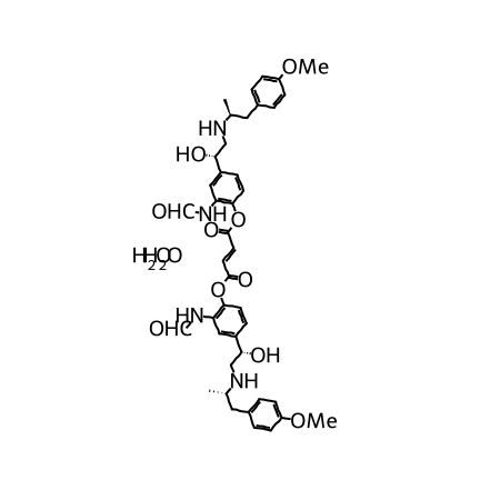 COc1ccc(C[C@H](C)NC[C@@H](O)c2ccc(OC(=O)/C=C/C(=O)Oc3ccc([C@H](O)CN[C@@H](C)Cc4ccc(OC)cc4)cc3NC=O)c(NC=O)c2)cc1.O.O